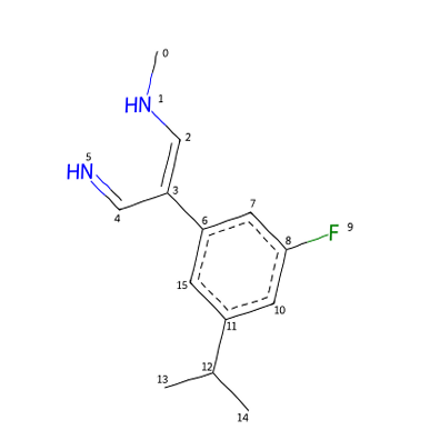 CN/C=C(\C=N)c1cc(F)cc(C(C)C)c1